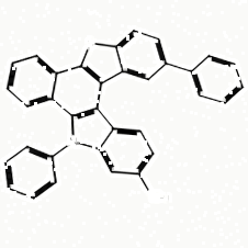 CC(C)(C)c1ccc2c3c4c5cc(-c6ccccc6)ccc5sc4c4ccccc4c3n(-c3ccccc3)c2c1